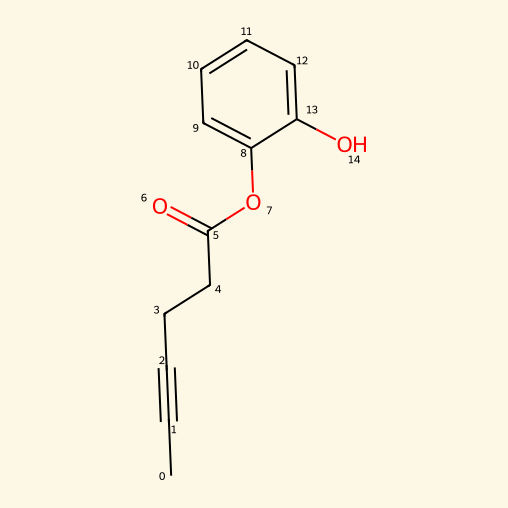 CC#CCCC(=O)Oc1ccccc1O